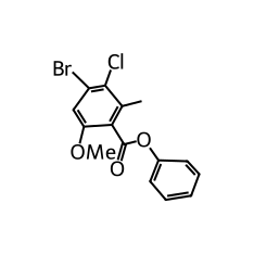 COc1cc(Br)c(Cl)c(C)c1C(=O)Oc1ccccc1